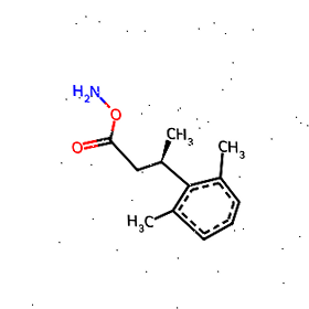 Cc1cccc(C)c1[C@H](C)CC(=O)ON